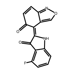 O=C1C=Cc2nocc2/C1=C1\Nc2cccc(F)c2C1=O